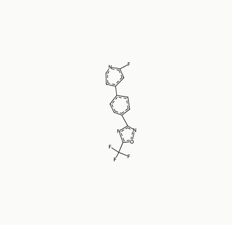 Fc1cc(-c2ccc(-c3noc(C(F)(F)F)n3)cc2)ccn1